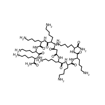 NCCCCC(NC(=O)C(CCCCN)NC(=O)C(CCCCN)NC(=O)C(CCCCN)NC(=O)CC(=O)NC(CCCCN)C(=O)NC(CCCCN)C(=O)NC(CCCCN)C(=O)NC(CCCCN)C(N)=O)C(N)=O